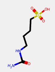 NC(=O)NCCCCS(=O)(=O)O